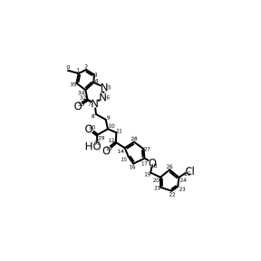 Cc1ccc2nnn(CCC(CC(=O)c3ccc(OCc4cccc(Cl)c4)cc3)C(=O)O)c(=O)c2c1